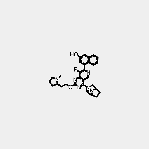 CN1CCCC1CCOc1nc(N2CC3CCC(C2)N3)c2cnc(-c3cc(O)cc4ccccc34)c(F)c2n1